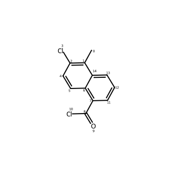 Cc1c(Cl)ccc2c(C(=O)Cl)cccc12